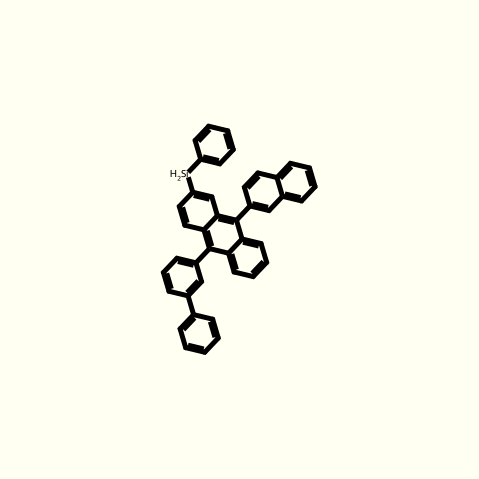 c1ccc([SiH2]c2ccc3c(-c4cccc(-c5ccccc5)c4)c4ccccc4c(-c4ccc5ccccc5c4)c3c2)cc1